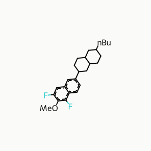 CCCCC1CCC2CC(c3ccc4c(F)c(OC)c(F)cc4c3)CCC2C1